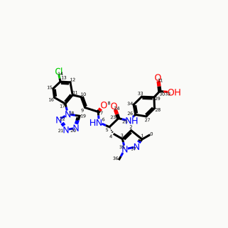 Cc1cc(C[C@H](NC(=O)C=Cc2cc(Cl)ccc2-n2cnnn2)C(=O)Nc2ccc(C(=O)O)cc2)n(C)n1